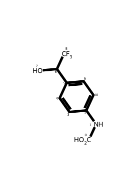 O=C(O)Nc1ccc(C(O)C(F)(F)F)cc1